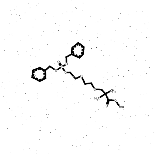 CC(C)(C)OC(=O)C(C)(C)COCCOCCOP(=O)(OCc1ccccc1)OCc1ccccc1